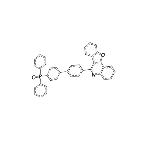 O=P(c1ccccc1)(c1ccccc1)c1ccc(-c2ccc(-c3nc4ccccc4c4oc5ccccc5c34)cc2)cc1